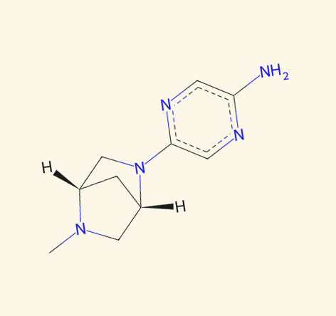 CN1C[C@@H]2C[C@H]1CN2c1cnc(N)cn1